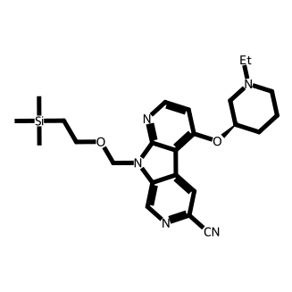 CCN1CCC[C@@H](Oc2ccnc3c2c2cc(C#N)ncc2n3COCC[Si](C)(C)C)C1